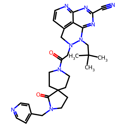 CC(C)(C)CN1c2nc(C#N)nc3nccc(c23)CN1CC(=O)N1CCC2(CC1)CCN(Cc1ccncc1)C2=O